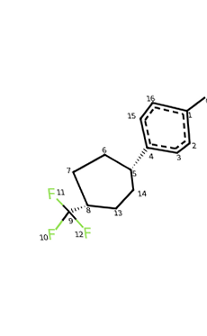 Cc1ccc([C@H]2CC[C@@H](C(F)(F)F)CC2)cc1